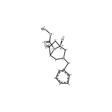 CC(C)(C)OC(=O)N1C2CN(Cc3ccccc3)C[C@H]1CC2=O